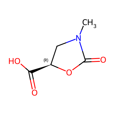 CN1C[C@H](C(=O)O)OC1=O